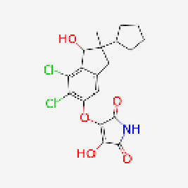 CC1(C2CCCC2)Cc2cc(OC3=C(O)C(=O)NC3=O)c(Cl)c(Cl)c2C1O